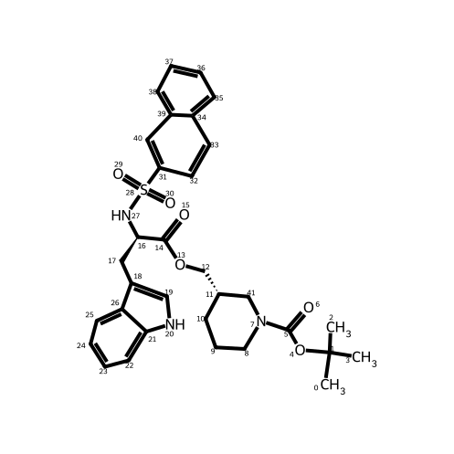 CC(C)(C)OC(=O)N1CCC[C@H](COC(=O)[C@@H](Cc2c[nH]c3ccccc23)NS(=O)(=O)c2ccc3ccccc3c2)C1